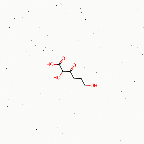 O=C(O)C(O)C(=O)CCCO